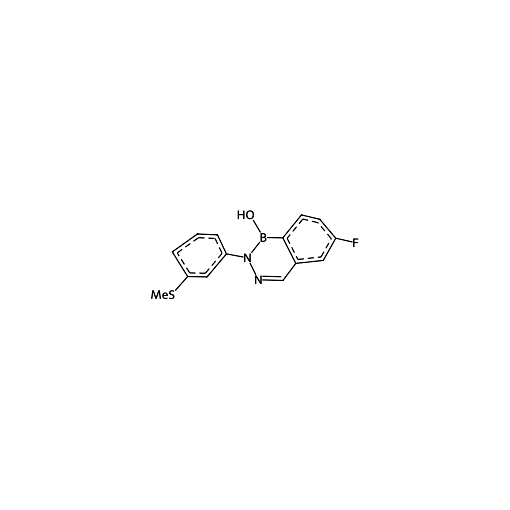 CSc1cccc(N2N=Cc3cc(F)ccc3B2O)c1